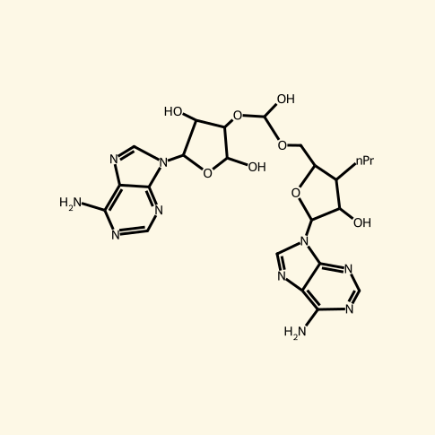 CCCC1C(COC(O)OC2C(O)OC(n3cnc4c(N)ncnc43)C2O)OC(n2cnc3c(N)ncnc32)C1O